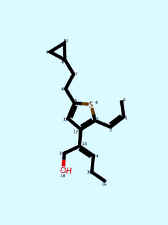 C/C=C\c1sc(CCC2CC2)cc1/C(=C/CC)CO